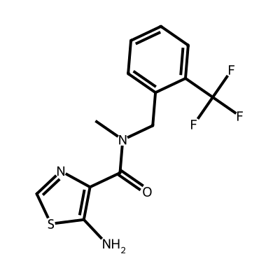 CN(Cc1ccccc1C(F)(F)F)C(=O)c1ncsc1N